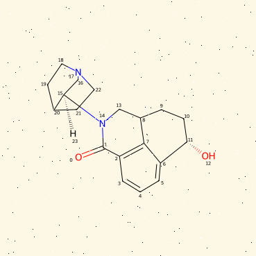 O=C1c2cccc3c2C(CC[C@@H]3O)CN1[C@@H]1CN2CCC1CC2